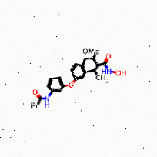 COC1Cc2ccc(Oc3cccc(NC(=O)C(C)C)c3)cc2C(C)C1C(=O)NO